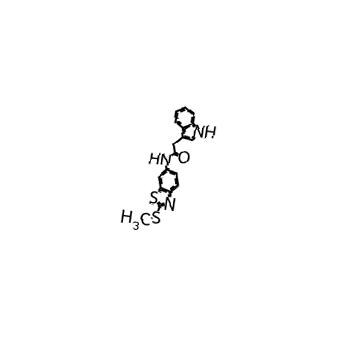 CSc1nc2ccc(NC(=O)Cc3c[nH]c4ccccc34)cc2s1